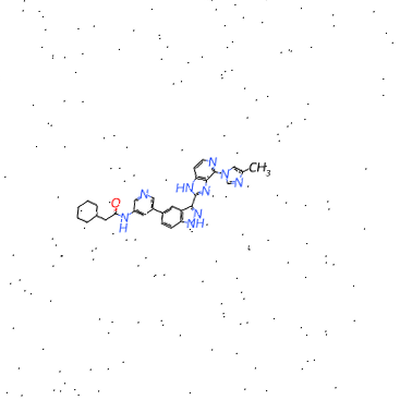 Cc1cn(-c2nccc3[nH]c(-c4n[nH]c5ccc(-c6cncc(NC(=O)CC7CCCCC7)c6)cc45)nc23)cn1